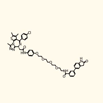 Cc1sc2c(c1C)C(c1ccc(Cl)cc1)=N[C@@H](CC(=O)Nc1ccc(OCCOCCOCCOCCNC(=O)c3cccc(-c4ccc5c(c4)CC(=O)N5)c3)cc1)c1nnc(C)n1-2